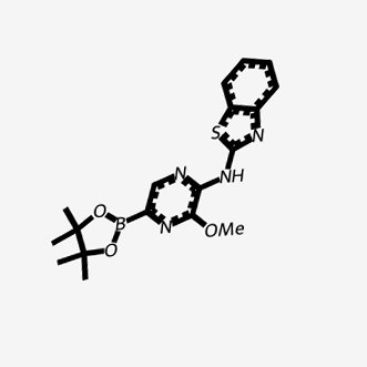 COc1nc(B2OC(C)(C)C(C)(C)O2)cnc1Nc1nc2ccccc2s1